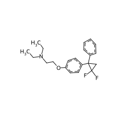 CCN(CC)CCOc1ccc(C2(c3ccccc3)CC2(F)F)cc1